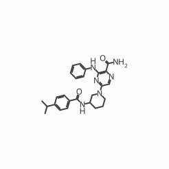 CC(C)c1ccc(C(=O)NC2CCCN(c3cnc(C(N)=O)c(Nc4ccccc4)n3)C2)cc1